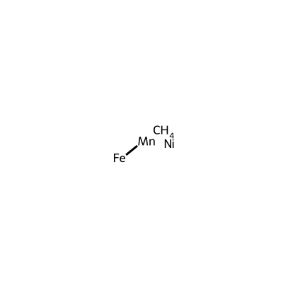 C.[Mn][Fe].[Ni]